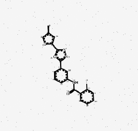 Cc1coc(-c2nnc(-c3cccc(NC(=O)c4ccccc4F)c3)o2)c1